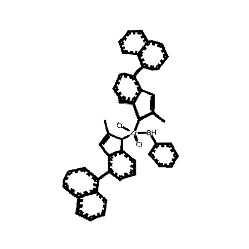 CC1=Cc2c(-c3cccc4ccccc34)cccc2[CH]1[Zr]([Cl])([Cl])([BH]c1ccccc1)[CH]1C(C)=Cc2c(-c3cccc4ccccc34)cccc21